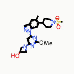 COc1nc(N2CC(O)C2)cc(-n2ncc3cc(C)c(C4CCN(S(C)(=O)=O)CC4)cc32)n1